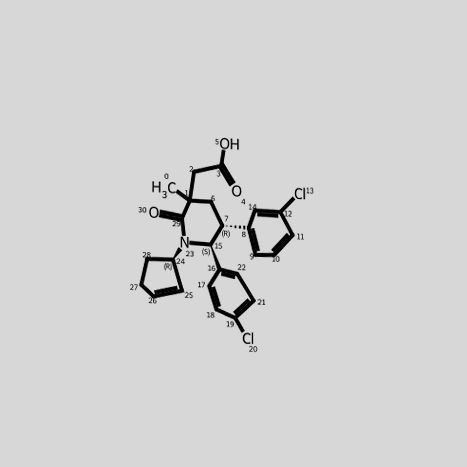 CC1(CC(=O)O)C[C@H](c2cccc(Cl)c2)[C@@H](c2ccc(Cl)cc2)N([C@H]2C=CCC2)C1=O